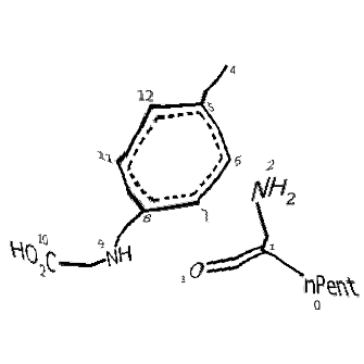 CCCCCC(N)=O.Cc1ccc(NC(=O)O)cc1